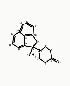 CC1(N2CCC(=O)CC2)Cc2cccc3cccc1c23